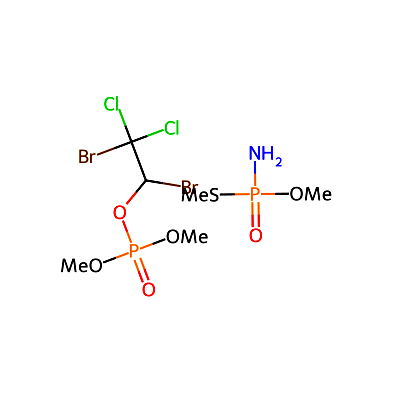 COP(=O)(OC)OC(Br)C(Cl)(Cl)Br.COP(N)(=O)SC